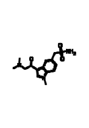 CN(C)CC(=O)c1cn(C)c2ccc(CS(N)(=O)=O)cc12